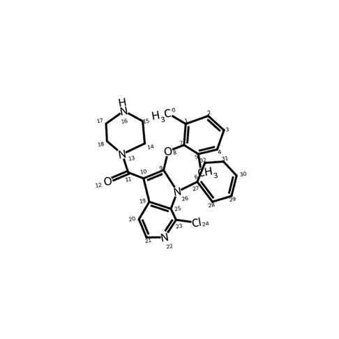 Cc1cccc(C)c1Oc1c(C(=O)N2CCNCC2)c2ccnc(Cl)c2n1C1=CC=CCC1